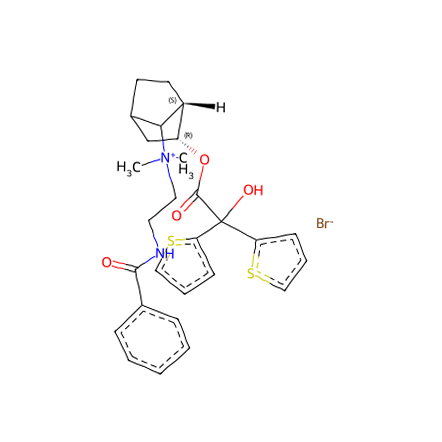 C[N+](C)(CCNC(=O)c1ccccc1)C1C2CC[C@@H]1[C@H](OC(=O)C(O)(c1cccs1)c1cccs1)C2.[Br-]